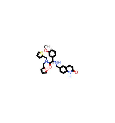 COc1cccc([C@@H](NCc2ccc3[nH]c(=O)ccc3c2)C(=O)N(Cc2ccco2)Cc2cccs2)c1